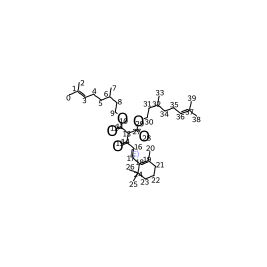 CC(C)=CCCC(C)CCOC(=O)C(C(=O)/C=C/C1=C(C)CCCC1(C)C)C(=O)OCCC(C)CCC=C(C)C